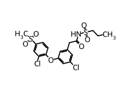 CCCS(=O)(=O)NC(=O)Cc1cc(Cl)cc(Oc2ccc(S(C)(=O)=O)cc2Cl)c1